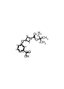 CC(C)(C)OC(=O)N1CC(Oc2ccnc(C(=O)O)c2)C1